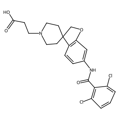 O=C(O)CCN1CCC2(CC1)COc1cc(NC(=O)c3c(Cl)cccc3Cl)ccc12